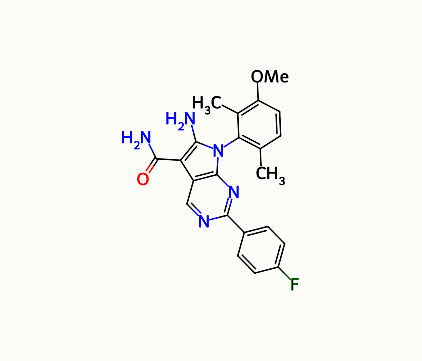 COc1ccc(C)c(-n2c(N)c(C(N)=O)c3cnc(-c4ccc(F)cc4)nc32)c1C